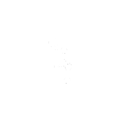 CCc1cc(C)cc(Oc2ccnc(N(Cc3cccc(OC(F)(F)C(F)F)c3)C[C@@H](O)C(F)(F)F)n2)c1